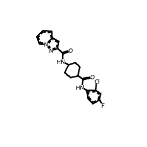 O=C(NC1CCC(C(=O)Nc2ccc(F)cc2Cl)CC1)c1cc2ccccn2n1